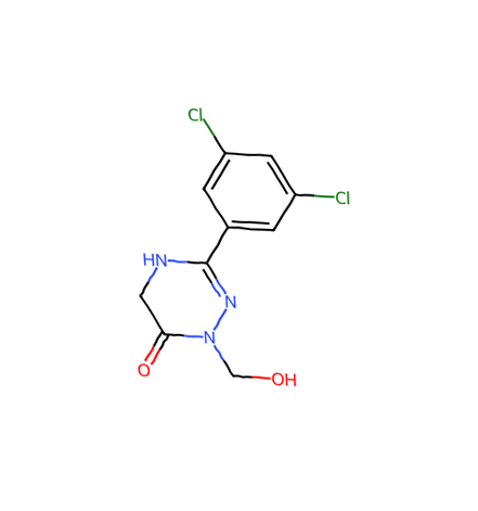 O=C1CNC(c2cc(Cl)cc(Cl)c2)=NN1CO